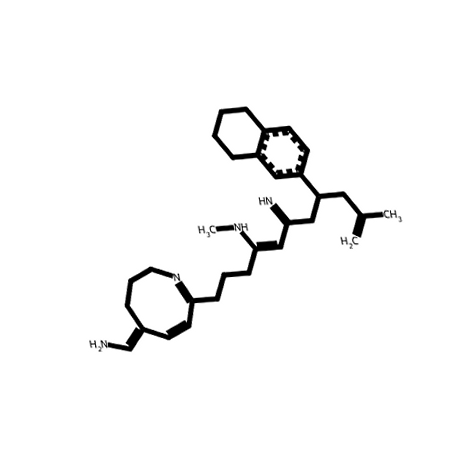 C=C(C)CC(CC(=N)/C=C(/CCCC1=N/CCCC(=C\N)/C=C\1)NC)c1ccc2c(c1)CCCC2